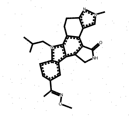 CON=C(C)c1ccc2c(c1)c1c3c(c4c(c1n2CC(C)C)CCc1nn(C)cc1-4)C(=O)NC3